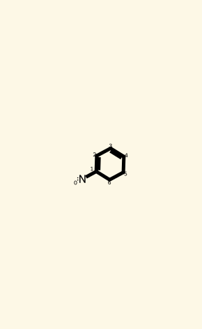 [N]C1=CC=CCC1